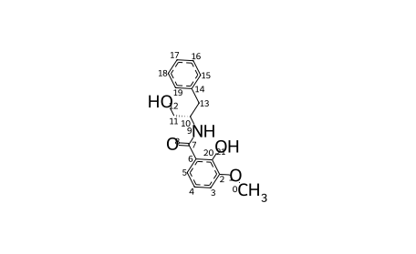 COc1cccc(C(=O)N[C@H](CO)Cc2ccccc2)c1O